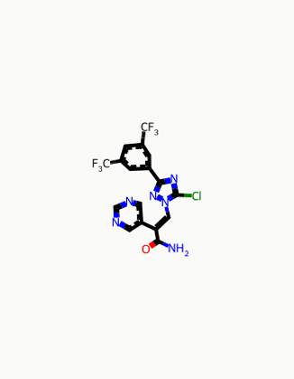 NC(=O)/C(=C/n1nc(-c2cc(C(F)(F)F)cc(C(F)(F)F)c2)nc1Cl)c1cncnc1